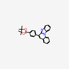 CC1(C)OB(c2ccc(-c3cc4ccccc4n4c3nc3ccccc34)cc2)OC1(C)C